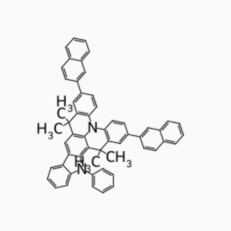 CC1(C)c2cc(-c3ccc4ccccc4c3)ccc2N2c3ccc(-c4ccc5ccccc5c4)cc3C(C)(C)c3c2c1cc1c2ccccc2n(-c2ccccc2)c31